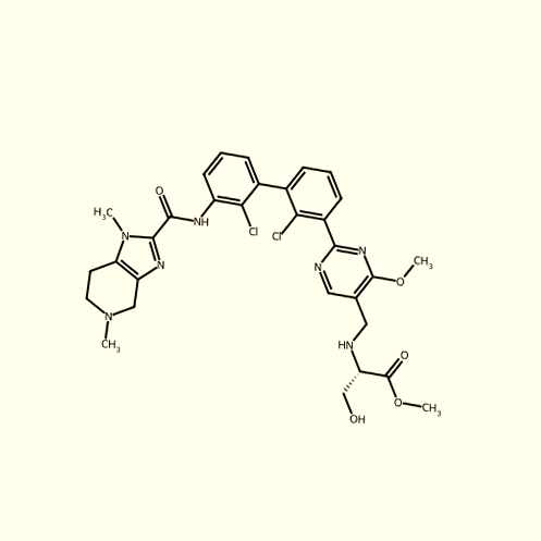 COC(=O)[C@H](CO)NCc1cnc(-c2cccc(-c3cccc(NC(=O)c4nc5c(n4C)CCN(C)C5)c3Cl)c2Cl)nc1OC